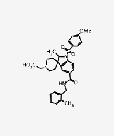 COc1ccc(S(=O)(=O)N2c3ccc(C(=O)NCc4ccccc4C)cc3C3(CCN(CC(=O)O)CC3)C2C)cc1